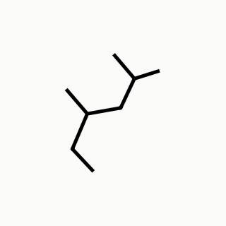 CCC(C)CC(C)C